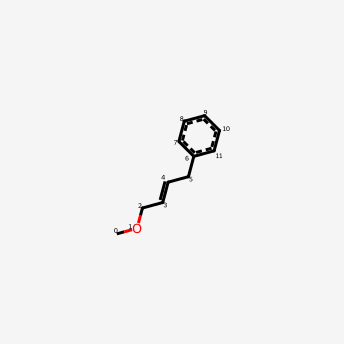 COCC=CCc1ccccc1